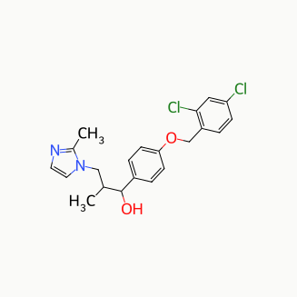 Cc1nccn1CC(C)C(O)c1ccc(OCc2ccc(Cl)cc2Cl)cc1